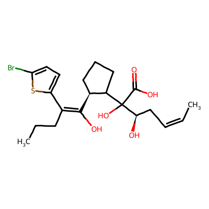 C/C=C\C[C@@H](O)C(O)(C(=O)O)C1CCC[C@@H]1/C(O)=C(/CCC)c1ccc(Br)s1